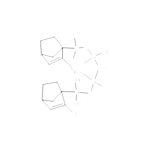 CCC1=CC2CCC1([Si](C)(C)O[Si](C)(C)O[Si](C)(C)O[Si](C)(C)C13CCC(C=C1CC)C3)C2